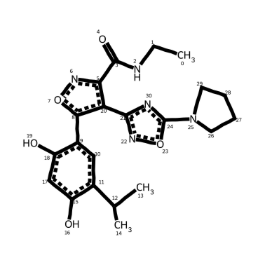 CCNC(=O)c1noc(-c2cc(C(C)C)c(O)cc2O)c1-c1noc(N2CCCC2)n1